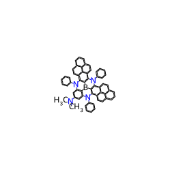 CN(C)c1cc2c3c(c1)N(c1ccccc1)c1c4c(c5ccc6cccc7ccc1c5c76)N(c1ccccc1)c1c(c(c5ccc6cccc7ccc1c5c67)N2c1ccccc1)B34